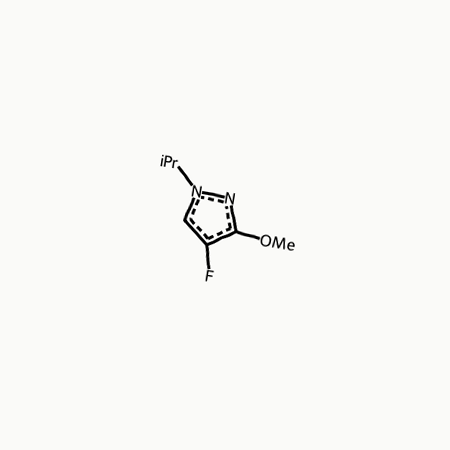 COc1nn(C(C)C)cc1F